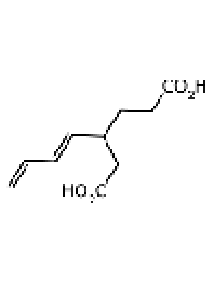 C=CC=CC(CCC(=O)O)CC(=O)O